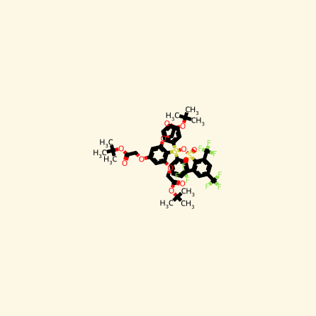 CC(C)(C)OC(=O)COc1cc(OCC(=O)OC(C)(C)C)c(S(OS(=O)(=O)c2c(C(F)(F)F)cc(C(F)(F)F)cc2C(F)(F)F)(c2ccccc2)c2ccccc2)c(OCC(=O)OC(C)(C)C)c1